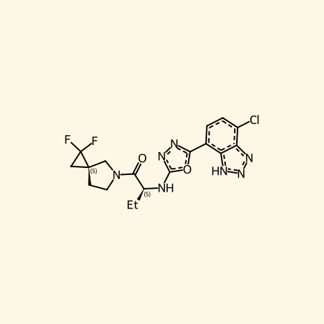 CC[C@H](Nc1nnc(-c2ccc(Cl)c3nn[nH]c23)o1)C(=O)N1CC[C@@]2(C1)CC2(F)F